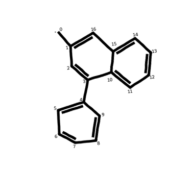 [CH2]c1cc(-c2ccccc2)c2ccccc2c1